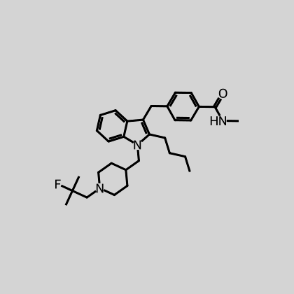 CCCCc1c(Cc2ccc(C(=O)NC)cc2)c2ccccc2n1CC1CCN(CC(C)(C)F)CC1